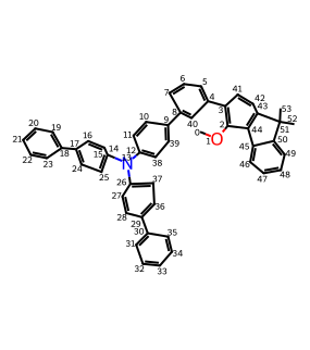 COc1c(-c2cccc(-c3ccc(N(c4ccc(-c5ccccc5)cc4)c4ccc(-c5ccccc5)cc4)cc3)c2)ccc2c1-c1ccccc1C2(C)C